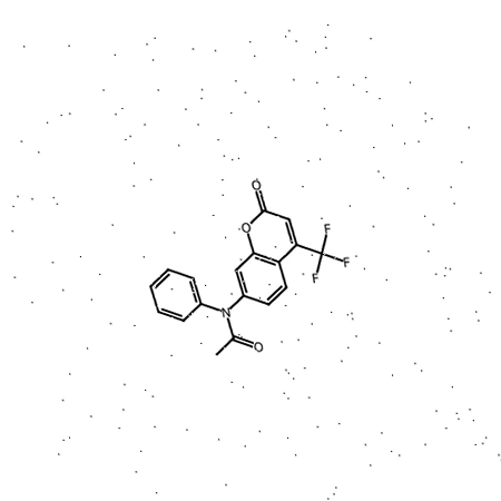 CC(=O)N(c1ccccc1)c1ccc2c(C(F)(F)F)cc(=O)oc2c1